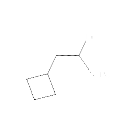 CCC(CC1CCC1)NC(C)=O